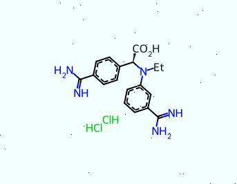 CCN(c1cccc(C(=N)N)c1)[C@H](C(=O)O)c1ccc(C(=N)N)cc1.Cl.Cl